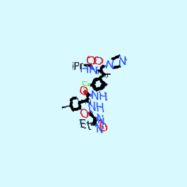 CCc1nonc1C(=O)N[C@H](C(=O)Nc1ccc([C@H](C)[C@@H](NC(=O)C(C)C)C(=O)N2CCN(C)CC2)cc1F)[C@H]1CC[C@H](C)CC1